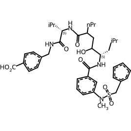 CCCC(CC(O)[C@H](CC(C)C)NC(=O)c1cccc(N(C)S(=O)(=O)Cc2ccccc2)c1)C(=O)N[C@H](C(=O)NCc1ccc(C(=O)O)cc1)C(C)C